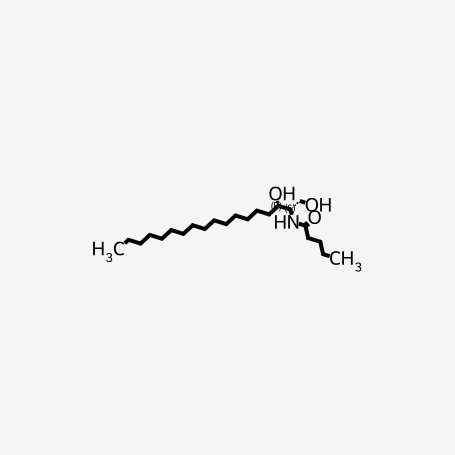 CCCCCCCCCCCCCCC[C@@H](O)[C@H](CO)NC(=O)CCCC